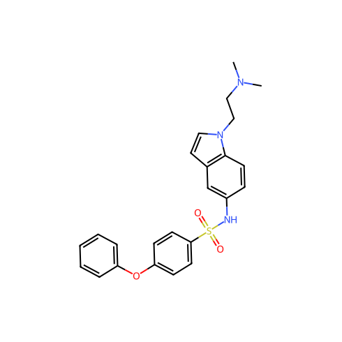 CN(C)CCn1ccc2cc(NS(=O)(=O)c3ccc(Oc4ccccc4)cc3)ccc21